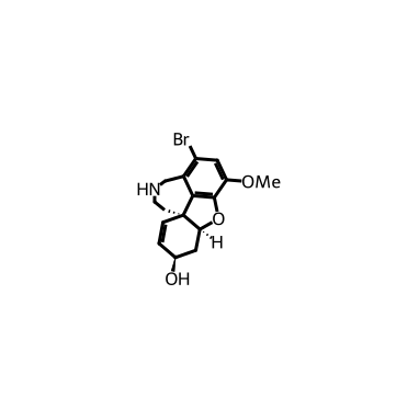 COc1cc(Br)c2c3c1O[C@H]1C[C@@H](O)C=C[C@@]31CCNC2